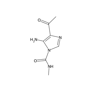 CNC(=O)n1cnc(C(C)=O)c1N